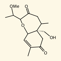 COC(C)C1OC2C=C(C)C(=O)C[C@]2(CO)C(C)CC1=O